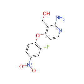 Nc1nccc(Oc2ccc([N+](=O)[O-])cc2F)c1CO